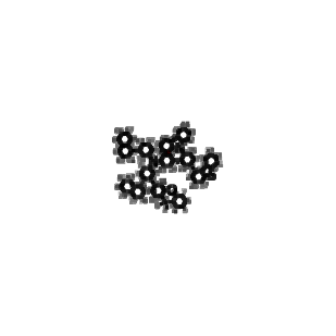 CC1(C)c2ccccc2Oc2cc(-c3cc(N(c4ccc(-c5cc(-c6cccc7sc8ccccc8c67)ccc5-n5c6ccccc6c6ccccc65)cc4)c4cccc(-c5cccc6ccccc56)c4)ccc3-c3cccc4ccccc34)ccc21